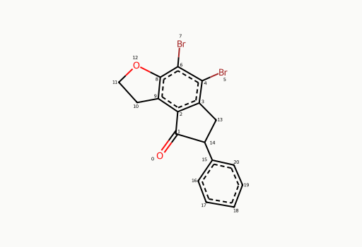 O=C1c2c(c(Br)c(Br)c3c2CCO3)CC1c1ccccc1